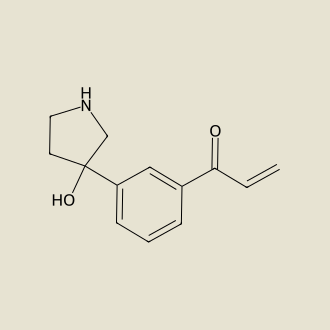 C=CC(=O)c1cccc(C2(O)CCNC2)c1